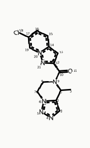 CC1c2cnnn2CCN1C(=O)c1cc2ccc(Cl)cn2n1